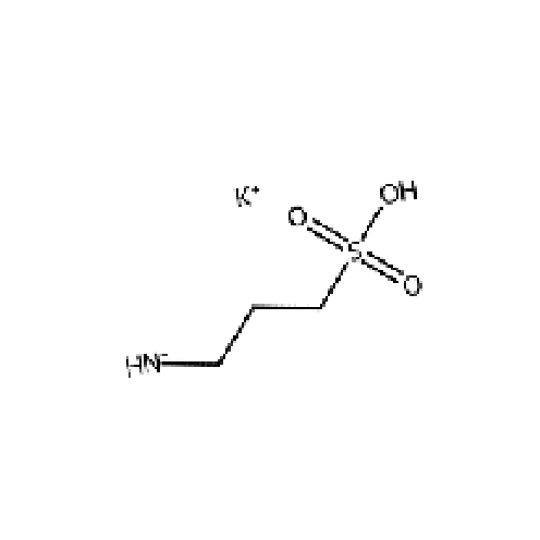 [K+].[NH-]CCCS(=O)(=O)O